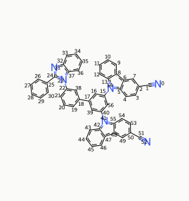 N#Cc1ccc2c(c1)c1ccccc1n2-c1cc(-c2cccc(-n3c(-c4ccccc4)nc4ccccc43)c2)cc(-n2c3ccccc3c3cc(C#N)ccc32)c1